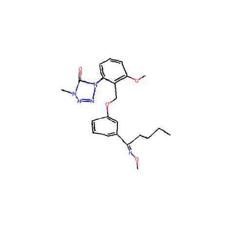 CCCC/C(=N\OC)c1cccc(OCc2c(OC)cccc2-n2nnn(C)c2=O)c1